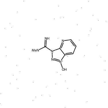 CNC(=N)n1n[n+](O)c2cccnc21